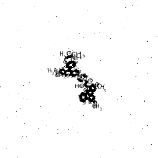 COc1ccc(C(OCC(O)C(=O)N2CC[N+](=c3ccc4c(-c5ccc6c(c5)SCC(C)(C)N6)c5ccc(N(C)C)cc5oc-4c3)CC2)(c2ccccc2)c2ccc(OC)cc2)cc1